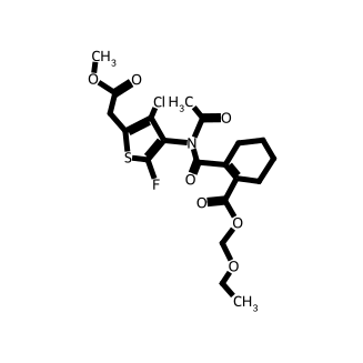 CCOCOC(=O)C1=C(C(=O)N(C(C)=O)c2c(F)sc(CC(=O)OC)c2Cl)CCCC1